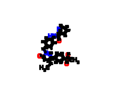 CCC1CC(=O)N(Cc2ccc(NC(=O)c3ccccn3)cc2)N=C1c1ccc(S(C)(=O)=O)cc1